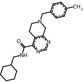 Cc1ccc(CN2CCc3c(ncnc3C(=O)NCC3CCCCC3)C2)cc1